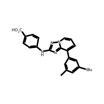 Cc1cc(-c2cccn3nc(Nc4ccc(C(=O)O)cc4)nc23)cc(C(C)(C)C)c1